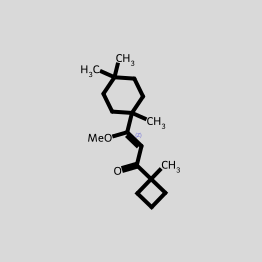 CO/C(=C\C(=O)C1(C)CCC1)C1(C)CCC(C)(C)CC1